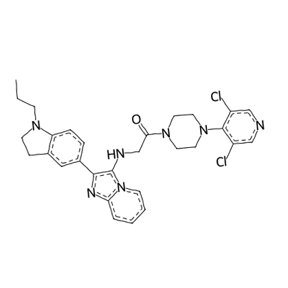 CCCN1CCc2cc(-c3nc4ccccn4c3NCC(=O)N3CCN(c4c(Cl)cncc4Cl)CC3)ccc21